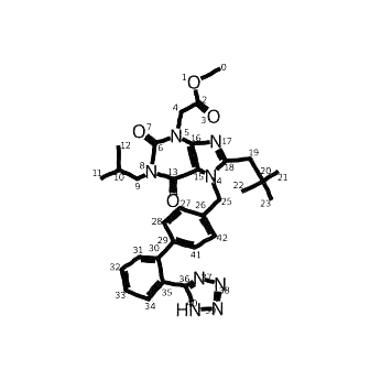 COC(=O)Cn1c(=O)n(CC(C)C)c(=O)c2c1nc(CC(C)(C)C)n2Cc1ccc(-c2ccccc2-c2nnn[nH]2)cc1